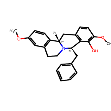 COc1ccc2c(c1)CCN1[C@H](Cc3ccccc3)c3c(ccc(OC)c3O)C[C@@H]21